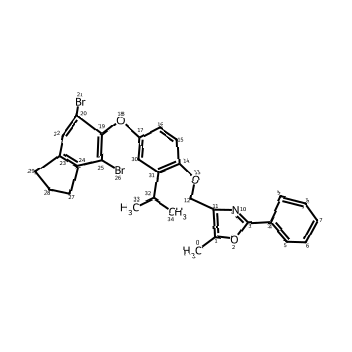 Cc1oc(-c2ccccc2)nc1COc1ccc(Oc2c(Br)cc3c(c2Br)CC[CH]3)cc1C(C)C